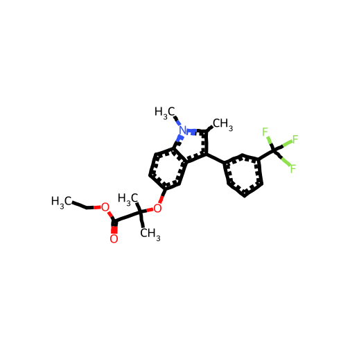 CCOC(=O)C(C)(C)Oc1ccc2c(c1)c(-c1cccc(C(F)(F)F)c1)c(C)n2C